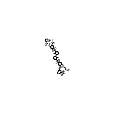 Cc1c(-c2nc3cc(CNCCO)c(OCc4cncc(S(C)(=O)=O)c4)cc3o2)cccc1-c1cccc(-c2nc3cc(COC(=O)[C@@H]4CCCN4)c(OC(F)F)cc3o2)c1C